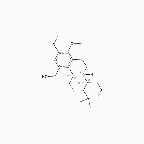 COc1cc(CO)c2c(c1OC)CC[C@H]1[C@@]2(C)CCC2C(C)(C)CCC[C@@]21C